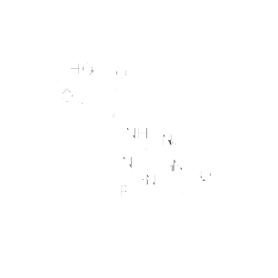 COc1cc(CNc2nc(F)nc3c2ncn3C2CCCCO2)cc(OC)c1O